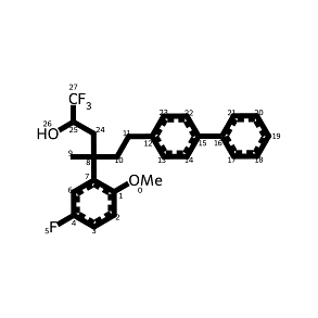 COc1ccc(F)cc1C(C)(CCc1ccc(-c2ccccc2)cc1)CC(O)C(F)(F)F